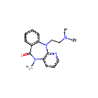 CC(C)N(CCN1c2ccccc2C(=O)N(C)c2cccnc21)C(C)C